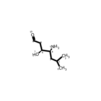 CC(C)C[C@H](N)[C@@H](O)C[C]=O